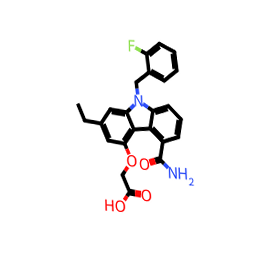 CCc1cc(OCC(=O)O)c2c3c(C(N)=O)cccc3n(Cc3ccccc3F)c2c1